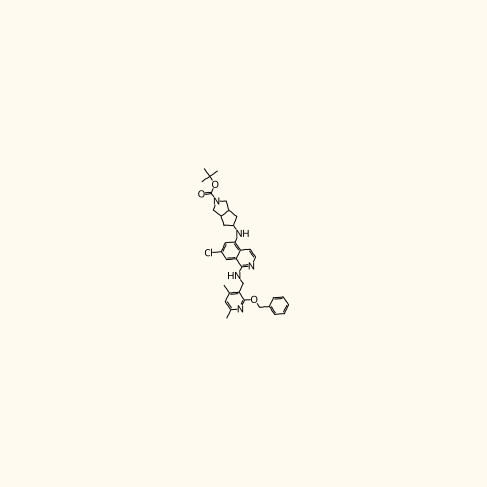 Cc1cc(C)c(CNc2nccc3c(NC4CC5CN(C(=O)OC(C)(C)C)CC5C4)cc(Cl)cc23)c(OCc2ccccc2)n1